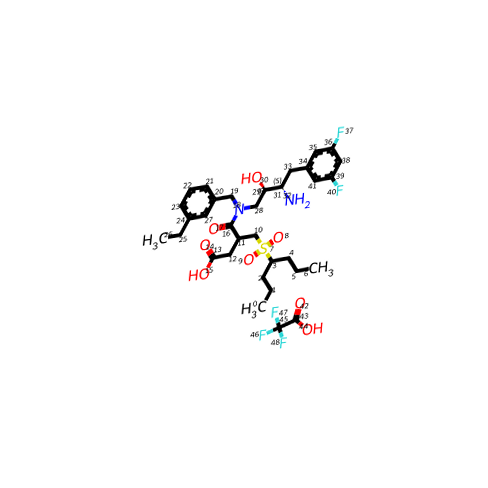 CCCC(CCC)S(=O)(=O)CC(CC(=O)O)C(=O)N(Cc1cccc(CC)c1)C[C@@H](O)[C@@H](N)Cc1cc(F)cc(F)c1.O=C(O)C(F)(F)F